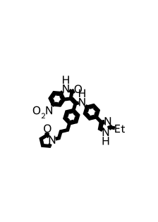 CCc1nc(-c2ccc(N/C(=C3\C(=O)Nc4ccc([N+](=O)[O-])cc43)c3ccc(CCCN4CCCC4=O)cc3)cc2)c[nH]1